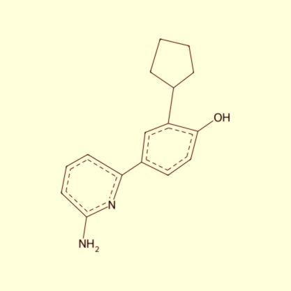 Nc1cccc(-c2ccc(O)c(C3CCCC3)c2)n1